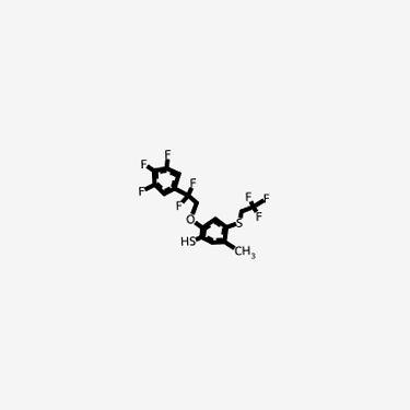 Cc1cc(S)c(OCC(F)(F)c2cc(F)c(F)c(F)c2)cc1SCC(F)(F)F